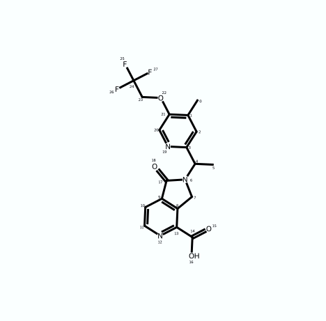 Cc1cc(C(C)N2Cc3c(ccnc3C(=O)O)C2=O)ncc1OCC(F)(F)F